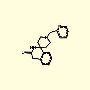 O=C1Cc2ccccc2C2(CCN(Cc3ccccn3)CC2)N1